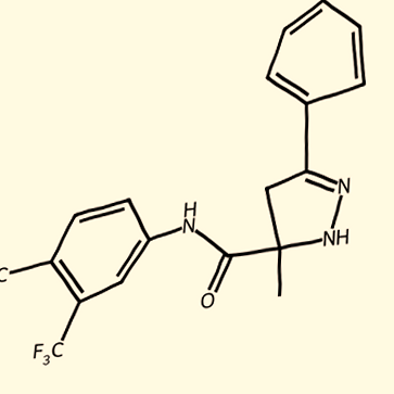 CC(=O)Oc1ccc(C2=NNC(C)(C(=O)Nc3ccc(C#N)c(C(F)(F)F)c3)C2)cc1